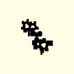 O=C(N[C@@H]1CCc2ccccc21)n1nnc2c(F)cc(F)cc21